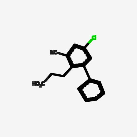 N#Cc1cc(Cl)cc(-c2ccccc2)c1CCC(=O)O